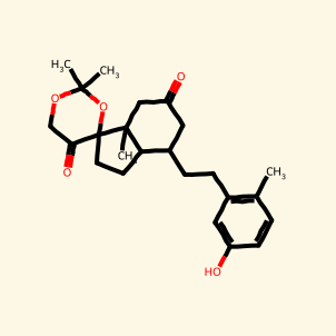 Cc1ccc(O)cc1CCC1CC(=O)CC2(C)C1CCC21OC(C)(C)OCC1=O